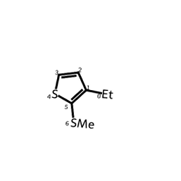 CCc1ccsc1SC